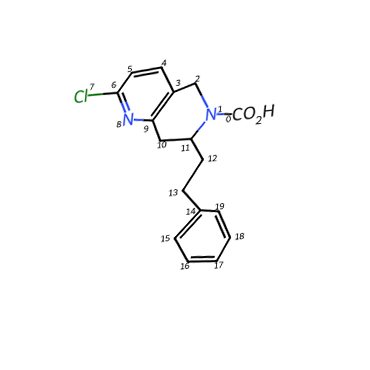 O=C(O)N1Cc2ccc(Cl)nc2CC1CCc1ccccc1